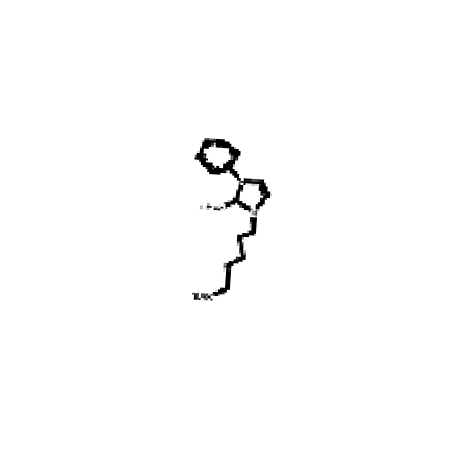 CCCCCCCCCCCCCCCN1C=CN(c2ccccc2)C1CCCCCC